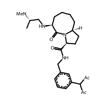 CN[C@@H](C)CN[C@H]1CCCC[C@H]2CC[C@@H](C(=O)NCc3cccc(C(C(C)=O)C(C)=O)c3)N2C1=O